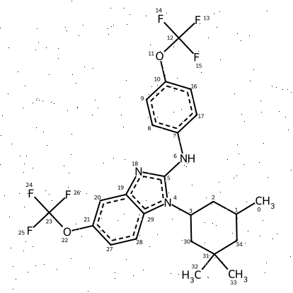 CC1CC(n2c(Nc3ccc(OC(F)(F)F)cc3)nc3cc(OC(F)(F)F)ccc32)CC(C)(C)C1